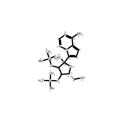 CC(C)(C)[Si](C)(C)OC1C(O[Si](C)(C)C(C)(C)C)[C@](C#N)(c2ccc3c(N)ncnn23)O[C@@H]1CO